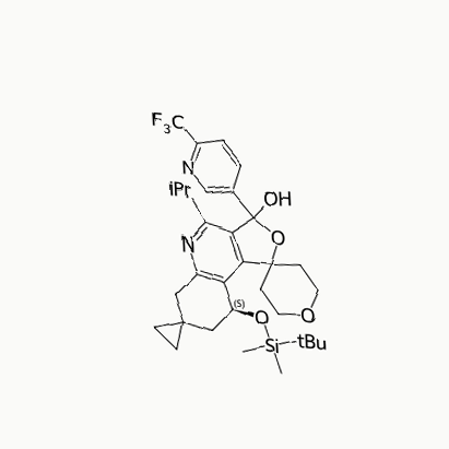 CC(C)c1nc2c(c3c1C(O)(c1ccc(C(F)(F)F)nc1)OC31CCOCC1)[C@@H](O[Si](C)(C)C(C)(C)C)CC1(CC1)C2